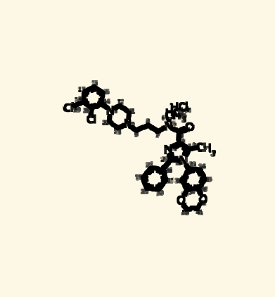 Cc1c(C(=O)N(C)CCCN2CCN(c3cccc(Cl)c3Cl)CC2)nc(-c2ccccc2)n1-c1ccc2c(c1)OCCO2.Cl.Cl